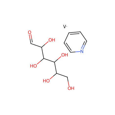 O=CC(O)C(O)C(O)C(O)CO.[V].c1ccncc1